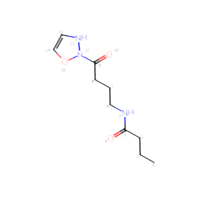 CCCC(=O)NCCCC(=O)N1NC=CO1